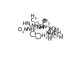 CC(C)C[C@H](NC(=O)[C@H](CC(C)NC(=N)N[N+](=O)[O-])NCc1cccc2ccccc12)B1O[C@@H]2C[C@@H]3C[C@@H](C3(C)C)[C@]2(C)O1